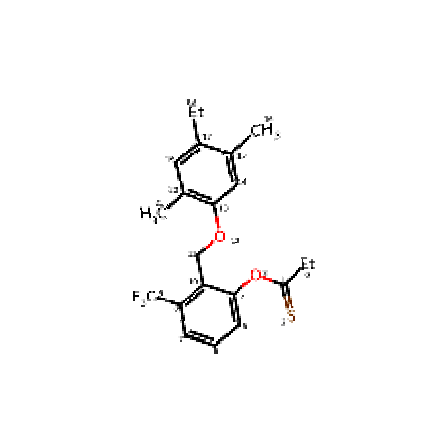 CCC(=S)Oc1cccc(C(F)(F)F)c1COc1cc(C)c(CC)cc1C